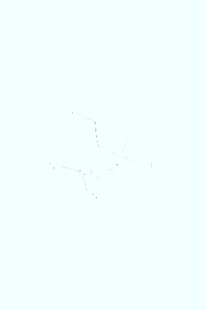 CCCCCCCC[PH](C)(C)C.N#CNC#N